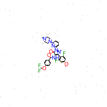 COc1cc(F)c(-c2c(NC(=O)c3ccc(OC(F)F)cc3)c(=O)n(-c3cccc(N4C[C@@H](C)N(C)[C@@H](C)C4)n3)n2C)c(F)c1